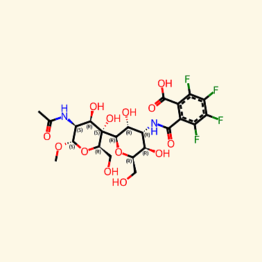 CO[C@H]1O[C@H](CO)[C@](O)([C@@H]2O[C@H](CO)[C@H](O)[C@@H](NC(=O)c3c(F)c(F)c(F)c(F)c3C(=O)O)[C@H]2O)[C@H](O)[C@@H]1NC(C)=O